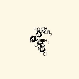 CN(C)[C@H]1CCN(c2ccncc2NC(=O)c2c(N)nn3cc(Cl)cnc23)C[C@@H]1O